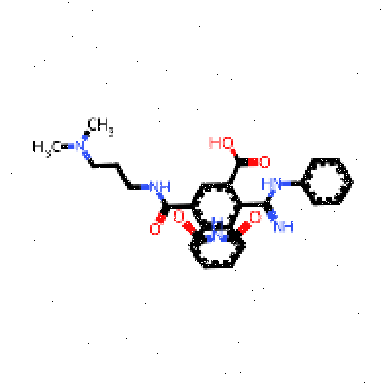 CN(C)CCCNC(=O)c1cc(C(=O)O)c(C(=N)Nc2ccccc2)c2c3ccc(c(=O)[nH]c3=O)c12